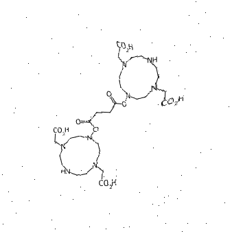 O=C(O)CN1CCNCCN(CC(=O)O)CCN(OC(=O)CCC(=O)ON2CCN(CC(=O)O)CCNCCN(CC(=O)O)CC2)CC1